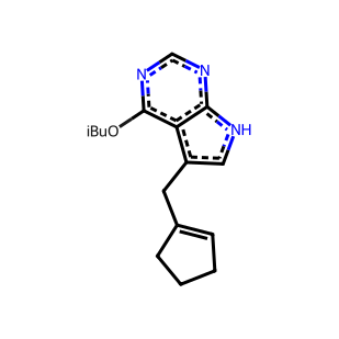 CC(C)COc1ncnc2[nH]cc(CC3=CCCC3)c12